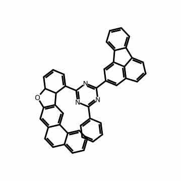 C1=CC2Oc3cc4ccc5ccccc5c4cc3C2C(c2nc(-c3ccccc3)nc(-c3cc4c5c(cccc5c3)-c3ccccc3-4)n2)=C1